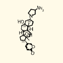 C[C@]12CC[C@H](N3CCC(N)C3)C[C@@]1(O)CC[C@@H]1[C@@H]2CC[C@]2(C)[C@@H](c3ccc(=O)oc3)CC[C@]12O